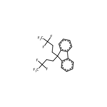 FC(F)(F)C(F)(F)CCC1(CCC(F)(F)C(F)(F)F)c2ccccc2-c2ccccc21